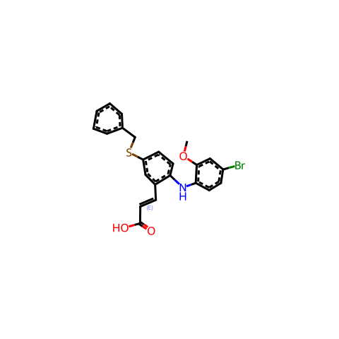 COc1cc(Br)ccc1Nc1ccc(SCc2ccccc2)cc1/C=C/C(=O)O